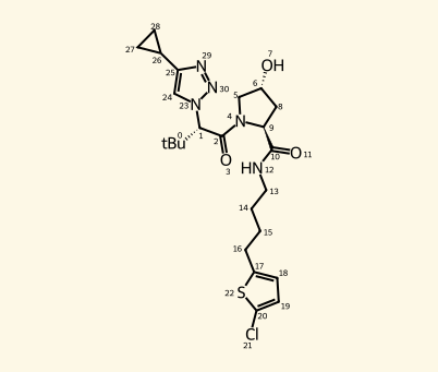 CC(C)(C)[C@@H](C(=O)N1C[C@H](O)C[C@H]1C(=O)NCCCCc1ccc(Cl)s1)n1cc(C2CC2)nn1